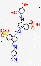 Nc1ccc(/N=N/c2ccc(/N=N/c3ccc(/N=N/c4ccc(O)cc4O)c4cc(S(=O)(=O)O)ccc34)c3cc(S(=O)(=O)O)ccc23)cc1